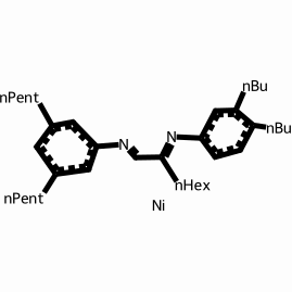 CCCCCCC(C=Nc1cc(CCCCC)cc(CCCCC)c1)=Nc1ccc(CCCC)c(CCCC)c1.[Ni]